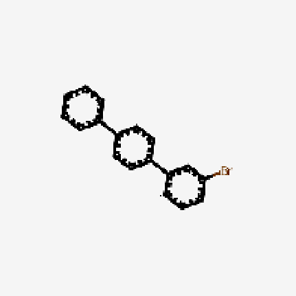 Brc1cc[c]c(-c2ccc(-c3ccccc3)cc2)c1